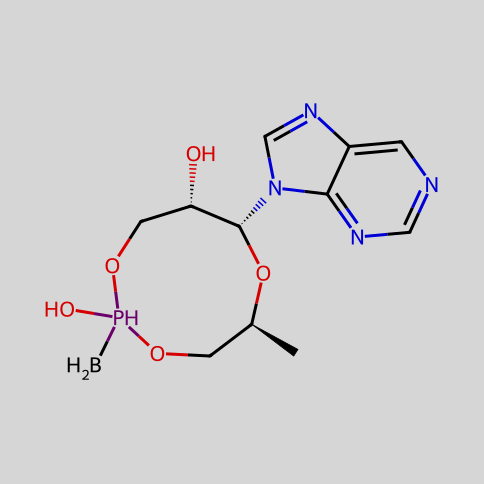 B[PH]1(O)OC[C@H](C)O[C@@H](n2cnc3cncnc32)[C@@H](O)CO1